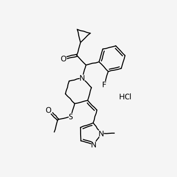 CC(=O)SC1CCN(C(C(=O)C2CC2)c2ccccc2F)CC1=Cc1ccnn1C.Cl